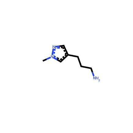 Cn1cc(CCCN)cn1